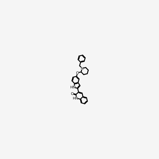 O=c1[nH]c2ccccc2cc1-c1cc2cc(OC3CCCCN3Cc3ccccc3)ccc2[nH]1